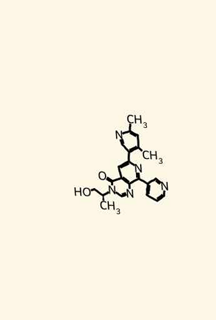 Cc1cc(C)c(-c2cc3c(=O)n([C@@H](C)CO)cnc3c(-c3cccnc3)n2)cn1